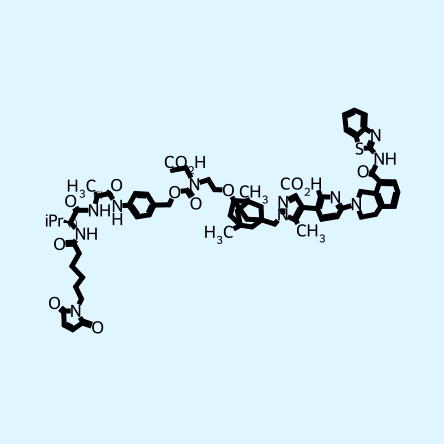 Cc1c(-c2ccc(N3CCc4cccc(C(=O)Nc5nc6ccccc6s5)c4C3)nc2C(=O)O)cnn1CC12CC3(C)CC(C)(C1)C(OCCN(CCC(=O)O)C(=O)OCc1ccc(NC(=O)[C@H](C)NC(=O)[C@@H](NC(=O)CCCCCN4C(=O)C=CC4=O)C(C)C)cc1)(C3)C2